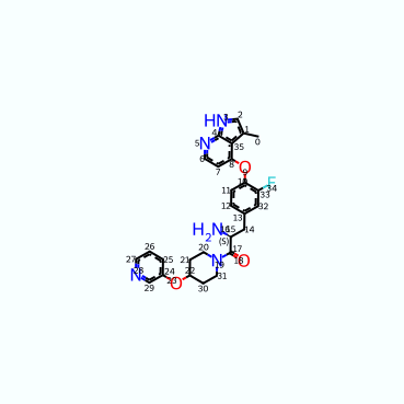 Cc1c[nH]c2nccc(Oc3ccc(C[C@H](N)C(=O)N4CCC(Oc5cccnc5)CC4)cc3F)c12